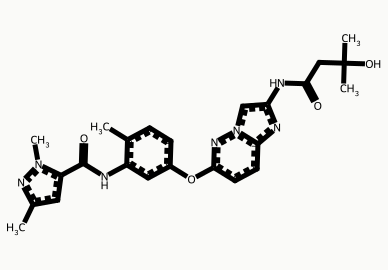 Cc1cc(C(=O)Nc2cc(Oc3ccc4nc(NC(=O)CC(C)(C)O)cn4n3)ccc2C)n(C)n1